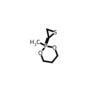 CP1(=C2CS2)OCCCO1